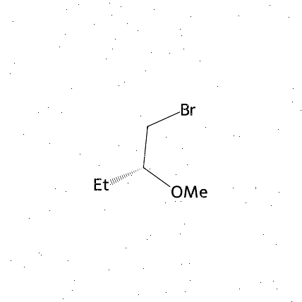 CC[C@H](CBr)OC